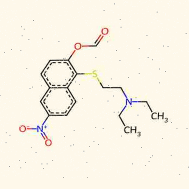 CCN(CC)CCSc1c(OC=O)ccc2cc([N+](=O)[O-])ccc12